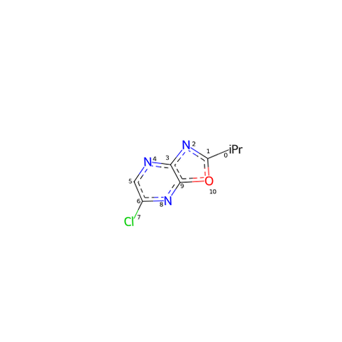 CC(C)c1nc2ncc(Cl)nc2o1